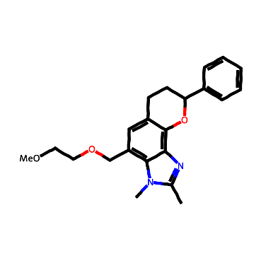 COCCOCc1cc2c(c3nc(C)n(C)c13)OC(c1ccccc1)CC2